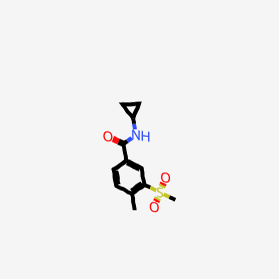 Cc1ccc(C(=O)NC2CC2)cc1S(C)(=O)=O